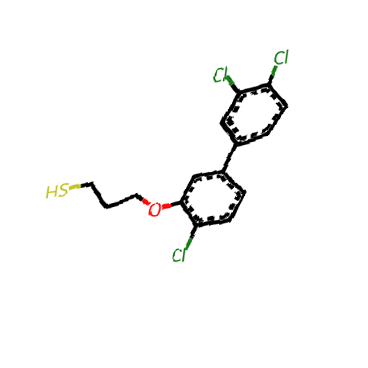 SCCCOc1cc(-c2ccc(Cl)c(Cl)c2)ccc1Cl